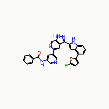 O=C(Nc1cncc(-c2cc3c(-c4cc5c(-c6ccc(F)s6)cccc5[nH]4)n[nH]c3cn2)c1)c1ccccc1